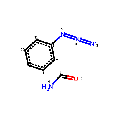 NC=O.[N-]=[N+]=Nc1ccccc1